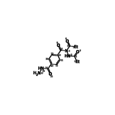 CCC(=O)NN(C(=O)CC)C(=O)c1ccc(C(=O)NN)cc1